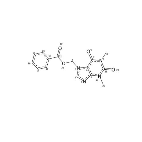 Cn1c(=O)c2c(ncn2COC(=O)c2ccccc2)n(C)c1=O